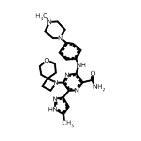 Cc1cc(-c2nc(C(N)=O)c(Nc3ccc(N4CCN(C)CC4)cc3)nc2N2CCC23CCOCC3)n[nH]1